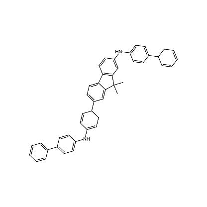 CC1(C)c2cc(Nc3ccc(C4C=CC=CC4)cc3)ccc2-c2ccc(C3C=CC(Nc4ccc(-c5ccccc5)cc4)=CC3)cc21